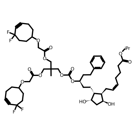 CC(C)OC(=O)CCC/C=C\C[C@@H]1[C@@H](CC[C@H](CCc2ccccc2)OC(=O)OCC(C)(COC(=O)COC2CCC#CC(F)(F)CC2)COC(=O)COC2CCC#CC(F)(F)CC2)[C@@H](O)C[C@@H]1O